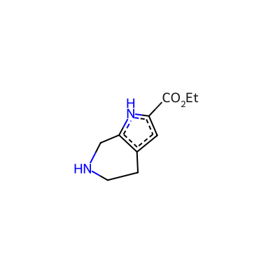 CCOC(=O)c1cc2c([nH]1)CNCC2